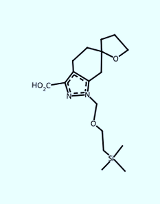 C[Si](C)(C)CCOCn1nc(C(=O)O)c2c1CC1(CCCO1)CC2